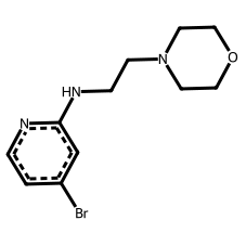 Brc1ccnc(NCCN2CCOCC2)c1